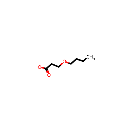 CCCCOCCC([O])=O